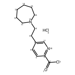 Cl.O=C(Cl)c1ccc(CCN2CCCCCC2)cn1